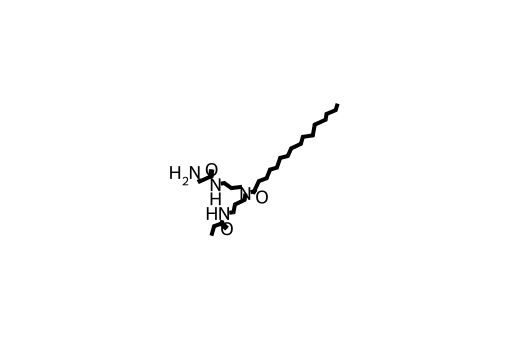 CCCCCCCCCCCCCCCC(=O)N(CCCNC(=O)CC)CCCNC(=O)CN